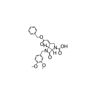 COc1ccc(CN2C(=O)[C@@H]3[C@H]2/C(=C\C(=O)OCc2ccccc2)CN3C(=O)O)cc1OC